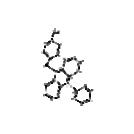 CC(C)(C)c1ccc(Oc2c3ccccc3c(-c3ccccc3)c3cnccc23)cc1